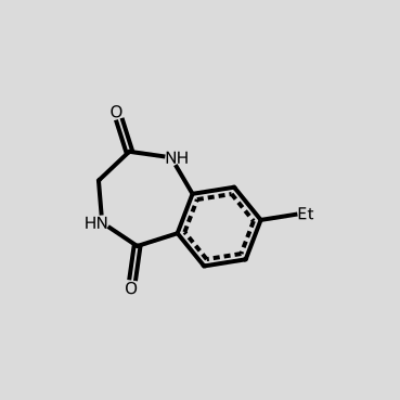 CCc1ccc2c(c1)NC(=O)CNC2=O